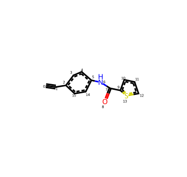 C#Cc1ccc(NC(=O)c2cccs2)cc1